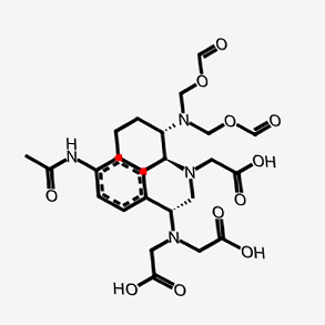 CC(=O)Nc1ccc([C@H](CN(CC(=O)O)[C@H]2CCCC[C@@H]2N(COC=O)COC=O)N(CC(=O)O)CC(=O)O)cc1